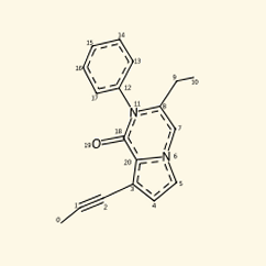 CC#Cc1ccn2cc(CC)n(-c3ccccc3)c(=O)c12